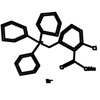 COC(=O)c1c(Cl)cccc1C[P+](c1ccccc1)(c1ccccc1)c1ccccc1.[Br-]